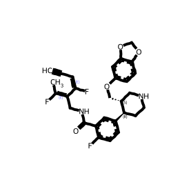 C#C/C=C(F)\C(CNC(=O)c1cc([C@@H]2CCNC[C@H]2COc2ccc3c(c2)OCO3)ccc1F)=C(/C)F